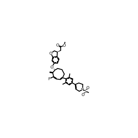 C=C1/C(F)=C\C=C(\c2c(C)cc(C3=CCN(S(C)(=O)=O)CC3)cc2C)CCC[C@H]1Oc1ccc2c(c1)OC[C@H]2CC(=O)OC